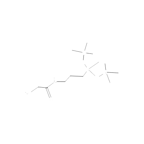 C[Si](C)(C)O[Si](C)(CCCNC(=O)CC#N)O[Si](C)(C)C